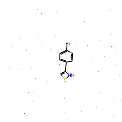 CCc1ccc(-c2cs[nH]2)cc1